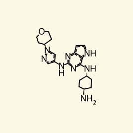 N[C@H]1CC[C@H](Nc2nc(Nc3cnn(C4CCOCC4)c3)nc3cc[nH]c23)CC1